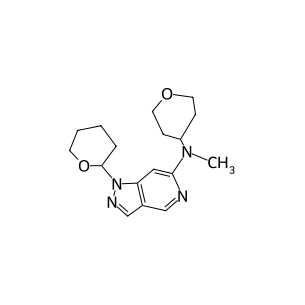 CN(c1cc2c(cn1)cnn2C1CCCCO1)C1CCOCC1